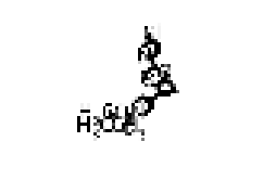 CC(C)(C)OC(=O)N1CC=C(c2cccc3c2OCC(c2ccc(Cl)cn2)O3)CC1